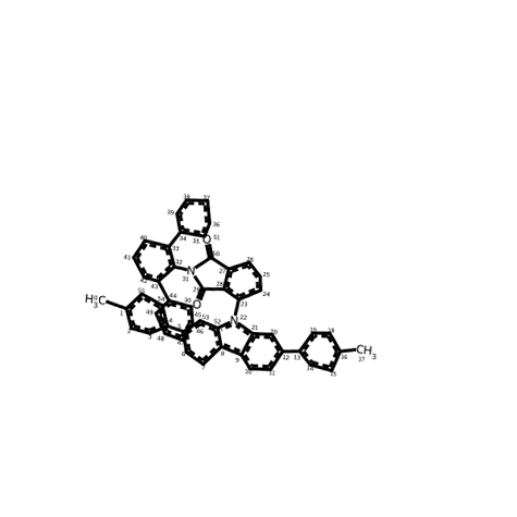 Cc1ccc(-c2ccc3c4ccc(-c5ccc(C)cc5)cc4n(-c4cccc5c4C(=O)N(c4c(-c6ccccc6)cccc4-c4ccccc4)C5=O)c3c2)cc1